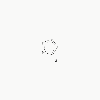 [Ni].c1cscn1